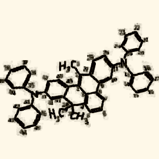 Cc1c2c3c(cccc3c3cc(N(c4ccccc4)c4ccccc4)ccc13)C(C)(C)c1cc(N(c3ccccc3)c3ccccc3)ccc1-2